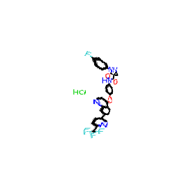 Cl.O=C(Nc1ccc(F)cc1)C1(C(=O)Nc2ccc(Oc3ccnc4cc(-c5ccc(C(F)(F)F)nc5)ccc34)cc2)CC1